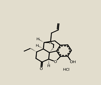 C=CCN1CC[C@]23c4c5ccc(O)c4O[C@H]2C(=O)C[C@H](CC)[C@H]3[C@H]1C5.Cl